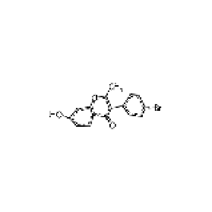 Cc1oc2cc(O)ccc2c(=O)c1-c1ccc(Br)cc1